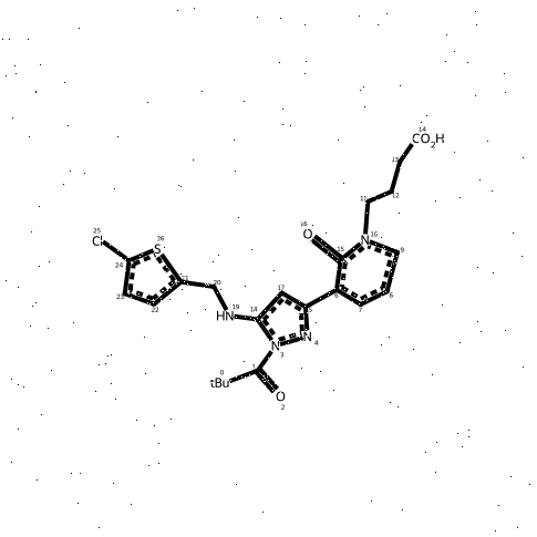 CC(C)(C)C(=O)n1nc(-c2cccn(CCCC(=O)O)c2=O)cc1NCc1ccc(Cl)s1